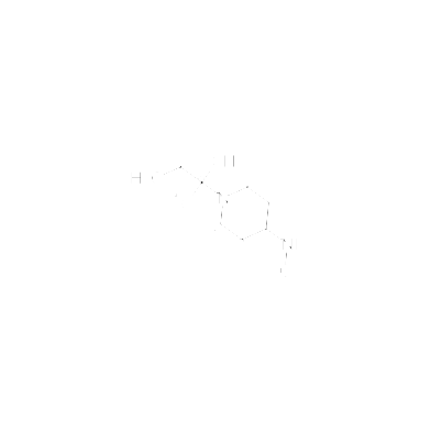 CCC(C)(C)N1CCC(NC)CC1